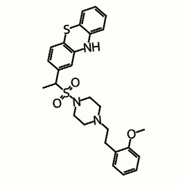 COc1ccccc1CCN1CCN(S(=O)(=O)C(C)c2ccc3c(c2)Nc2ccccc2S3)CC1